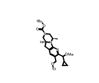 CCOCc1cc2c(nc1C(OC)C1CC1)N1[C@H](C2)CN(C(=O)OC(C)(C)C)C[C@H]1C